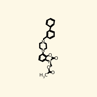 CC(=O)OCn1c(=O)oc2c(N3CCN(Cc4cccc(-c5ccccc5)c4)CC3)cccc21